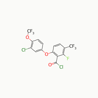 O=C(Cl)c1c(Oc2ccc(OC(F)(F)F)c(Cl)c2)ccc(C(F)(F)F)c1F